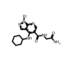 CCn1ncc2c(NC3CCCCC3)c(C(=O)NCC(N)=O)cnc21